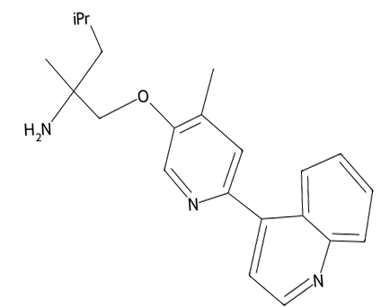 Cc1cc(-c2ccnc3ccccc23)ncc1OCC(C)(N)CC(C)C